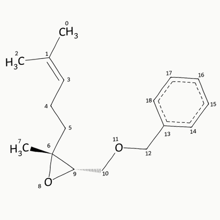 CC(C)=CCC[C@@]1(C)O[C@H]1COCc1ccccc1